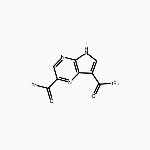 CC(C)C(=O)c1cnc2[nH]cc(C(=O)C(C)(C)C)c2n1